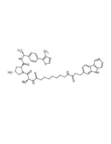 Cc1ncsc1-c1ccc([C@H](C)NC(=O)[C@@H]2C[C@@H](O)CN2C(=O)[C@@H](NC(=O)CCCCCCCNC(=O)CCc2ccc3c(c2)[nH]c2ccncc23)C(C)(C)C)cc1